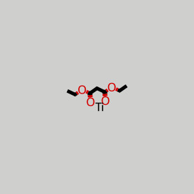 CCOC(=O)CC(=O)OCC.[Ti]